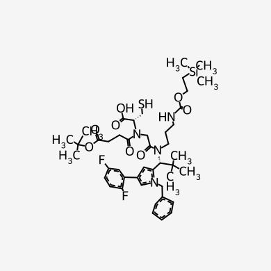 CC(C)(C)OC(=O)CCC(=O)N(CC(=O)N(CCCNC(=O)OCC[Si](C)(C)C)[C@@H](c1cc(-c2cc(F)ccc2F)cn1Cc1ccccc1)C(C)(C)C)[C@@H](CS)C(=O)O